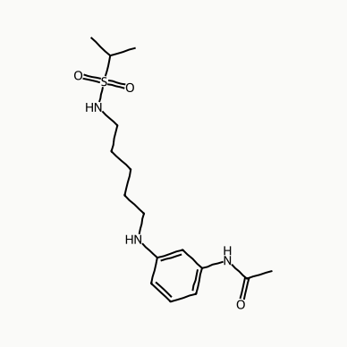 CC(=O)Nc1cccc(NCCCCCNS(=O)(=O)C(C)C)c1